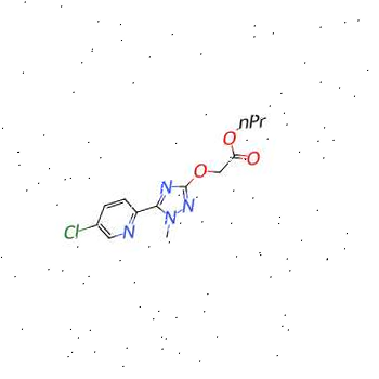 CCCOC(=O)COc1nc(-c2ccc(Cl)cn2)n(C)n1